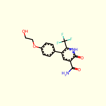 NC(=O)c1cc(-c2ccc(OCCO)cc2)c(C(F)(F)F)[nH]c1=O